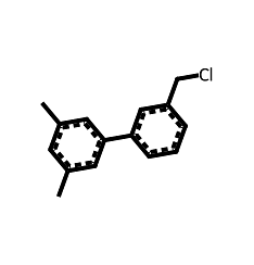 Cc1cc(C)cc(-c2cccc(CCl)c2)c1